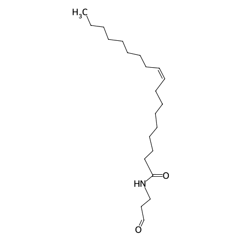 CCCCCCCC/C=C\CCCCCCCC(=O)NCCC=O